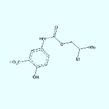 CCCCC(CC)COC(=O)Nc1ccc(O)c(C(=O)O)c1